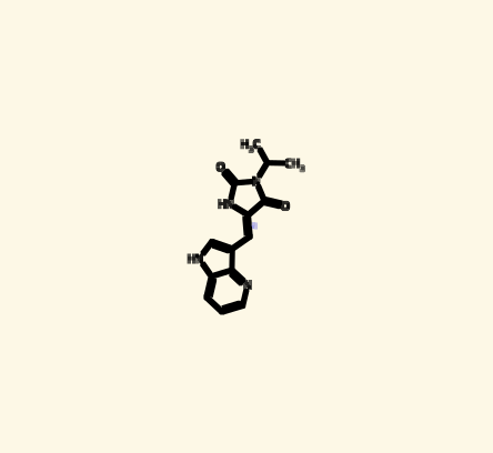 CC(C)N1C(=O)N/C(=C\c2c[nH]c3cccnc23)C1=O